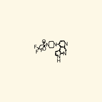 O=S(=O)(CC(F)(F)F)N1CCN(c2ccnc3cnc4[nH]ccc4c23)CC1